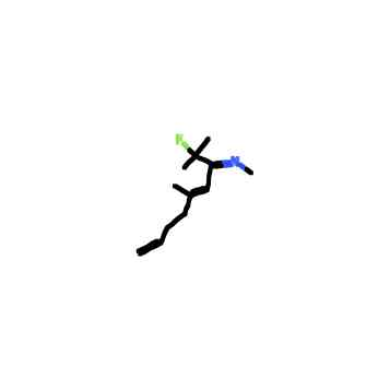 C=CCC/C(C)=C/C(=N\C)C(C)(C)F